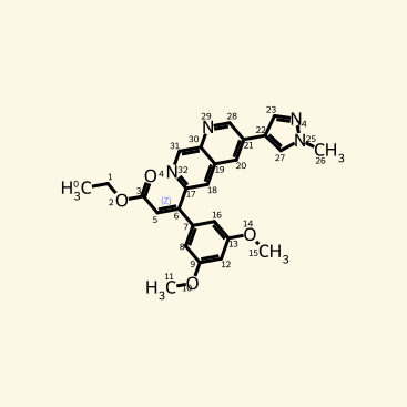 CCOC(=O)/C=C(/c1cc(OC)cc(OC)c1)c1cc2cc(-c3cnn(C)c3)cnc2cn1